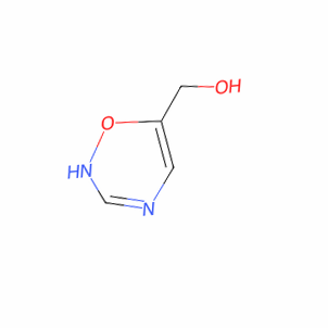 OCC1=CN=CNO1